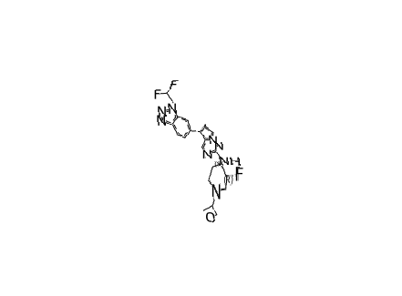 FC(F)Cn1nnc2ccc(-c3ccn4nc(N[C@H]5CCN(C6COC6)C[C@H]5F)ncc34)cc21